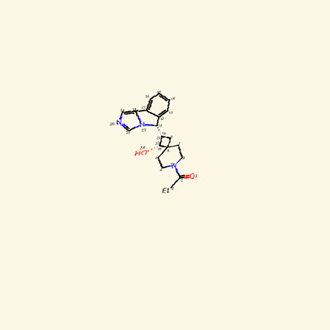 CCC(=O)N1CCC2(CC1)C[C@@H](C1c3ccccc3-c3cncn31)[C@H]2O